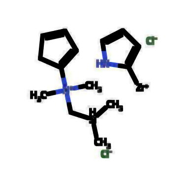 C[SiH](C)C[N+](C)(C)C1=CC=CC1.[Cl-].[Cl-].[Zr+][c]1ccc[nH]1